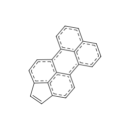 C1=Cc2ccc3c4cccc5cccc(c6ccc1c2c63)c54